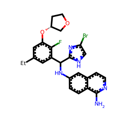 CCc1cc(O[C@@H]2CCOC2)c(F)c(C(Nc2ccc3c(N)nccc3c2)c2nc(Br)c[nH]2)c1